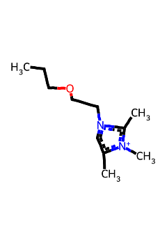 CCCOCCn1cc(C)[n+](C)c1C